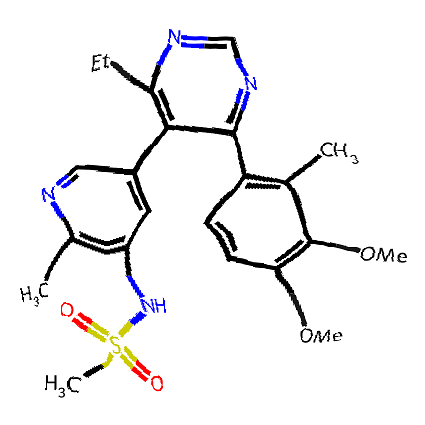 CCc1ncnc(-c2ccc(OC)c(OC)c2C)c1-c1cnc(C)c(NS(C)(=O)=O)c1